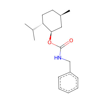 CC(C)[C@@H]1CC[C@@H](C)C[C@H]1OC(=O)NCc1ccccc1